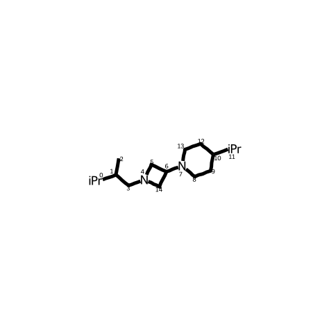 CC(C)C(C)CN1CC(N2CCC(C(C)C)CC2)C1